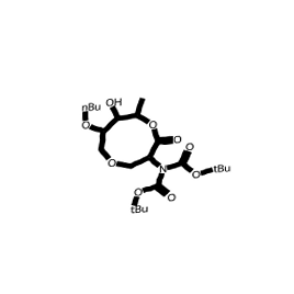 CCCCOC1COCC(N(C(=O)OC(C)(C)C)C(=O)OC(C)(C)C)C(=O)OC(C)C1O